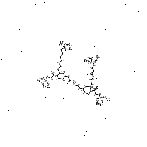 CCO[Si](CCCSSCCC1CC(CCSSCCC2CCC(C(=S)CC[Si](OCC)(OCC)OCC)C(CCSSCCC[Si](OCC)(OCC)OCC)C2)CCC1C(=S)CC[Si](OCC)(OCC)OCC)(OCC)OCC